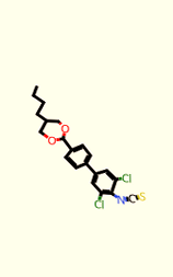 CCCCC1COC(c2ccc(-c3cc(Cl)c(N=C=S)c(Cl)c3)cc2)OC1